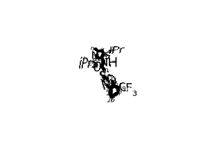 Cc1cc(SC(C)C)c(NC(=O)CSc2nc3cccc(C(F)(F)F)c3o2)c(SC(C)C)n1